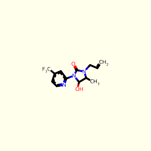 C=CCN1C(=O)N(c2cc(C(F)(F)F)ccn2)C(O)C1C